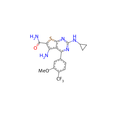 COc1cc(-c2nc(NC3CC3)nc3sc(C(N)=O)c(N)c23)ccc1C(F)(F)F